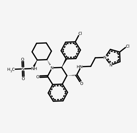 CS(=O)(=O)N[C@H]1CCCC[C@@H]1N1C(=O)c2ccccc2[C@@H](C(=O)NCCn2cc(Cl)cn2)[C@@H]1c1ccc(Cl)cc1